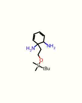 CC(C)(C)[Si](C)(C)OCCC1(N)C=CC=CC1N